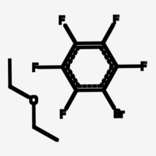 CCOCC.Fc1c(F)c(F)c(Br)c(F)c1F